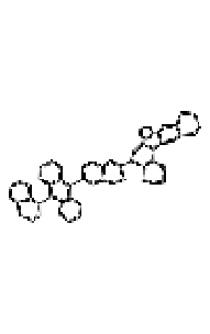 c1ccc2cc3c(cc2c1)oc1cc(-c2ccc4cc(-c5c6ccccc6c(-c6cccc7ccccc67)c6ccccc56)ccc4c2)c2ccccc2c13